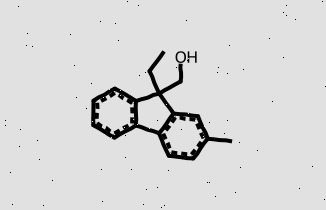 CCC1(CO)c2ccccc2-c2ccc(C)cc21